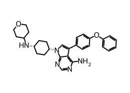 Nc1ncnc2c1c(-c1ccc(Oc3ccccc3)cc1)cn2[C@H]1CC[C@@H](NC2CCOCC2)CC1